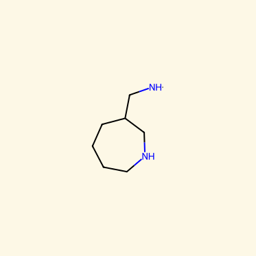 [NH]CC1CCCCNC1